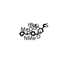 CNc1cc(OCc2ccccc2)c(OC)cc1C(=O)N1CC=C(c2ccsc2)C[C@H]1CO[Si](C)(C)C(C)(C)C